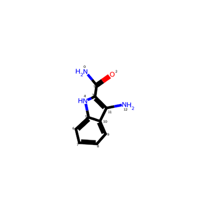 NC(=O)c1[nH]c2ccccc2c1N